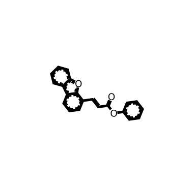 O=C(C=Cc1cccc2c1oc1ccccc12)Oc1ccccc1